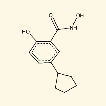 O=C(NO)c1cc(C2CCCC2)ccc1O